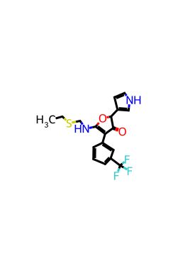 CCSCNC1=C(c2cccc(C(F)(F)F)c2)C(=O)C(c2cc[nH]c2)O1